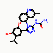 Cc1cnc2cccc(-n3c(NC(N)=O)nnc3-c3cc(C(C)C)c(O)cc3O)c2c1